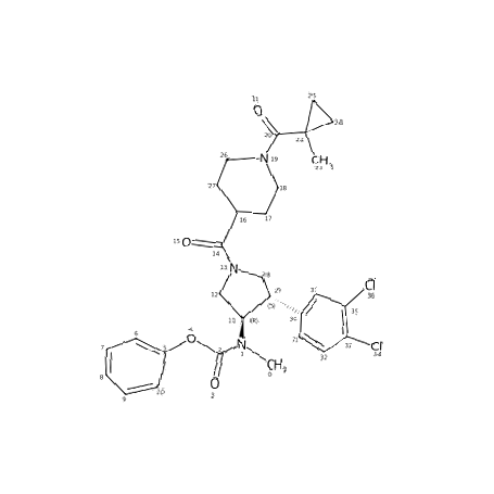 CN(C(=O)Oc1ccccc1)[C@H]1CN(C(=O)C2CCN(C(=O)C3(C)CC3)CC2)C[C@@H]1c1ccc(Cl)c(Cl)c1